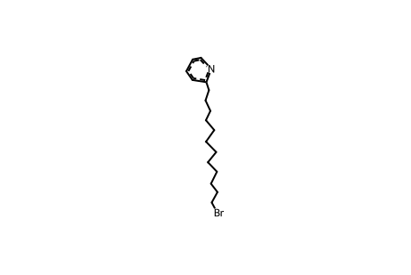 BrCCCCCCCCCCCCc1ccccn1